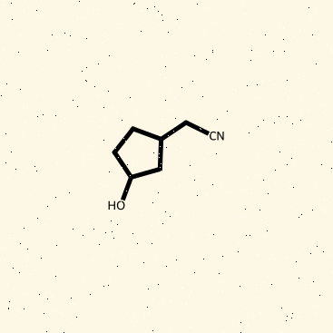 N#CCC1CCC(O)C1